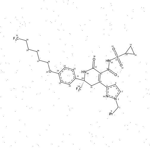 CC(C)Cn1ccc(C2=C(C(=O)NS(=O)(=O)C3CC3)C(=O)N[C@@](c3ccc(OCCCCCC(F)(F)F)cc3)(C(F)(F)F)C2)n1